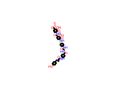 COc1c(NC(=O)c2ccc(NSc3ccc(NC(=O)CNC(=O)c4ccc(NC(=O)/C(C)=C/c5ccc(O)cc5)cc4)cc3)c(OC)c2O)ccc(C(=O)O)c1O